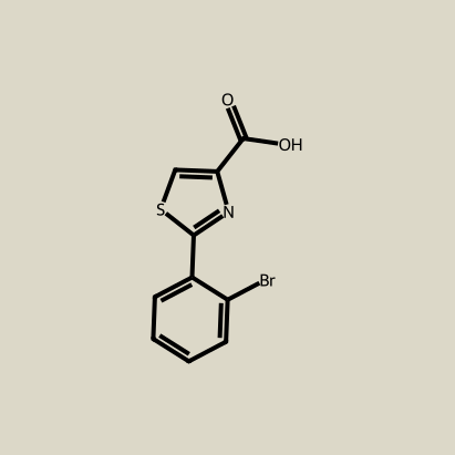 O=C(O)c1csc(-c2ccccc2Br)n1